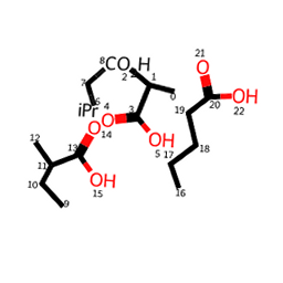 CC(C)C(=O)O.CC(C)CC(=O)O.CCC(C)C(=O)O.CCCCC(=O)O